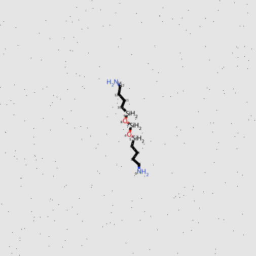 NCCCC[SiH2]O[SiH2]O[SiH2]CCCCN